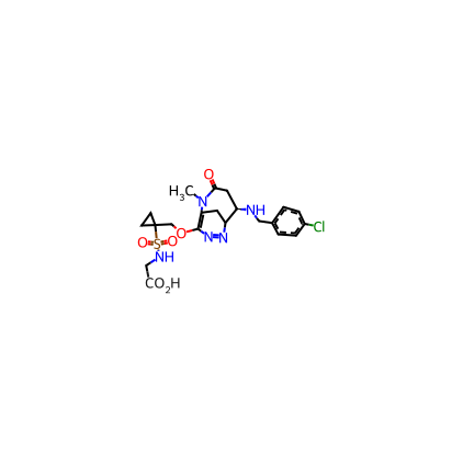 CN1C(=O)C[C@@H](NCc2ccc(Cl)cc2)C2CC1=C(OCC1(S(=O)(=O)NCC(=O)O)CC1)N=N2